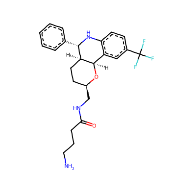 NCCCC(=O)NC[C@H]1CC[C@@H]2[C@H](O1)c1cc(C(F)(F)F)ccc1N[C@H]2c1ccccc1